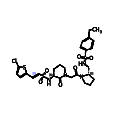 CCc1ccc(S(=O)(=O)NC[C@@H]2CCCN2C(=O)CN2CCC[C@H](NS(=O)(=O)/C=C/c3ccc(Cl)s3)C2=O)cc1